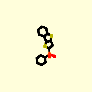 O=[PH](c1ccccc1)c1cc2sc3ccccc3c2s1